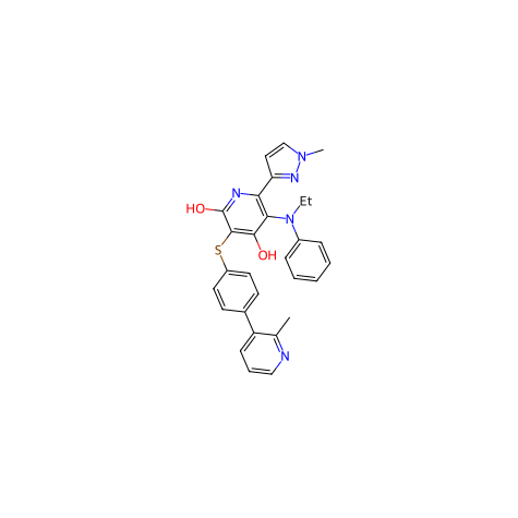 CCN(c1ccccc1)c1c(-c2ccn(C)n2)nc(O)c(Sc2ccc(-c3cccnc3C)cc2)c1O